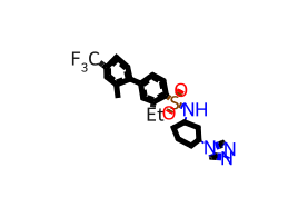 CCc1cc(-c2ccc(C(F)(F)F)cc2C)ccc1S(=O)(=O)N[C@H]1CCC[C@@H](n2cnnc2)C1